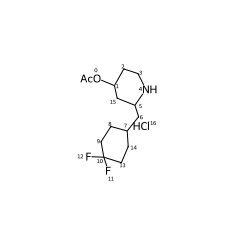 CC(=O)OC1CCNC(CC2CCC(F)(F)CC2)C1.Cl